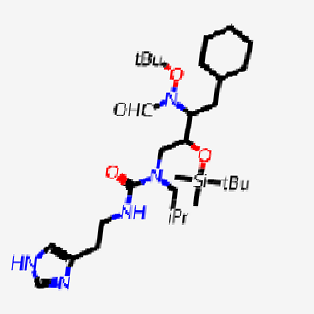 CC(C)CN(CC(O[Si](C)(C)C(C)(C)C)C(CC1CCCCC1)N(C=O)OC(C)(C)C)C(=O)NCCc1c[nH]cn1